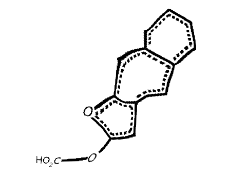 O=C(O)Oc1cc2cc3ccccc3cc2o1